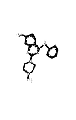 CN1CCN(c2nc(Nc3ccccc3)c3ccc(N)cc3n2)CC1